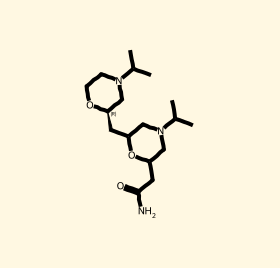 CC(C)N1CC(CC(N)=O)OC(C[C@@H]2CN(C(C)C)CCO2)C1